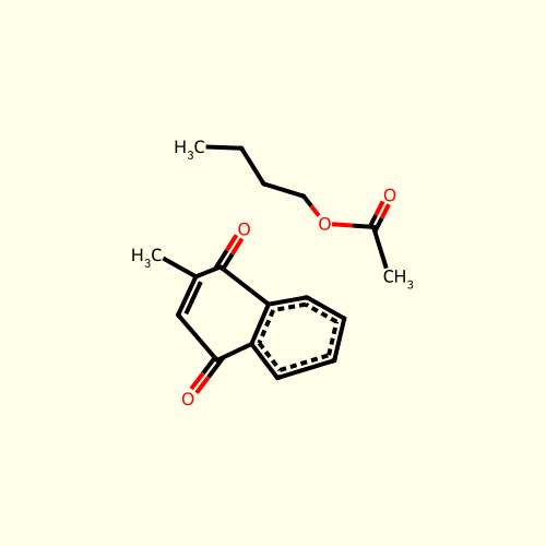 CC1=CC(=O)c2ccccc2C1=O.CCCCOC(C)=O